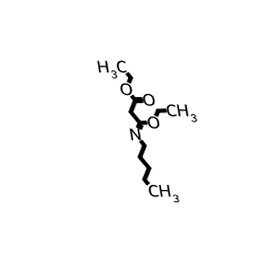 CCCCCN=C(CC(=O)OCC)OCC